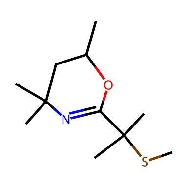 CSC(C)(C)C1=NC(C)(C)CC(C)O1